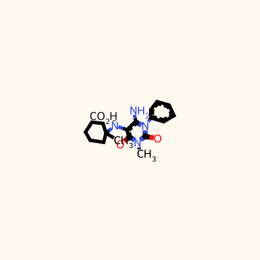 Cn1c(=O)c(N(C(=O)O)C2(C)CCCCC2)c(N)n(-c2ccccc2)c1=O